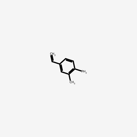 C=Cc1ccc(P)c(C)c1